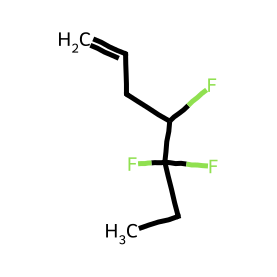 C=CCC(F)C(F)(F)CC